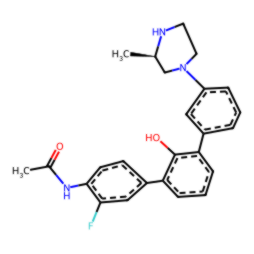 CC(=O)Nc1ccc(-c2cccc(-c3cccc(N4CCN[C@H](C)C4)c3)c2O)cc1F